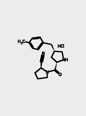 Cc1ccc(C[C@@H]2CN[C@H](C(=O)N3CCC[C@H]3C#N)C2)cc1.Cl